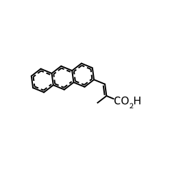 CC(=Cc1ccc2cc3ccccc3cc2c1)C(=O)O